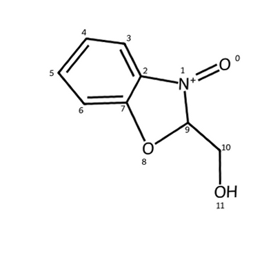 O=[N+]1c2ccccc2OC1CO